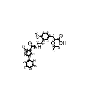 COc1ccc(CC(OC(C)C)C(=O)O)cc1CCNC(=O)c1cc(-c2ccccc2)nn1C